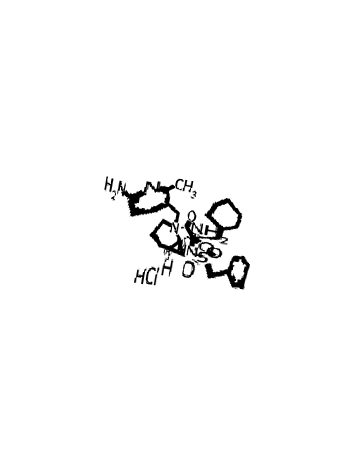 Cc1nc(N)ccc1C[N+]1(C(=O)[C@@H](CC2CCCCC2)NS(=O)(=O)Cc2ccccc2)CCC[C@@H]2C[C@@]21C(N)=O.Cl